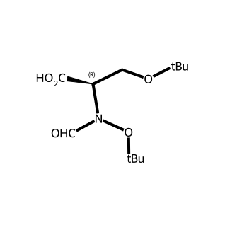 CC(C)(C)OC[C@H](C(=O)O)N(C=O)OC(C)(C)C